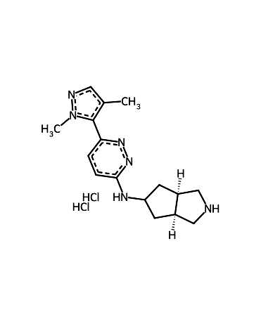 Cc1cnn(C)c1-c1ccc(NC2C[C@H]3CNC[C@H]3C2)nn1.Cl.Cl